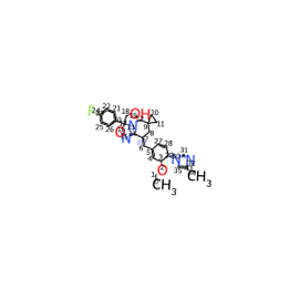 CCOC1C=C(/C=C2\CC3(CC3)CN3C2=NOC3(CO)c2ccc(F)cc2)C=CC1n1cnc(C)c1